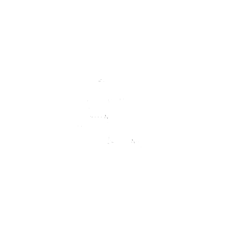 CC(C)C1CC(=O)N(C(CN)C(C)C)C1=O